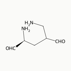 NCC(C=O)C[C@H](N)C=O